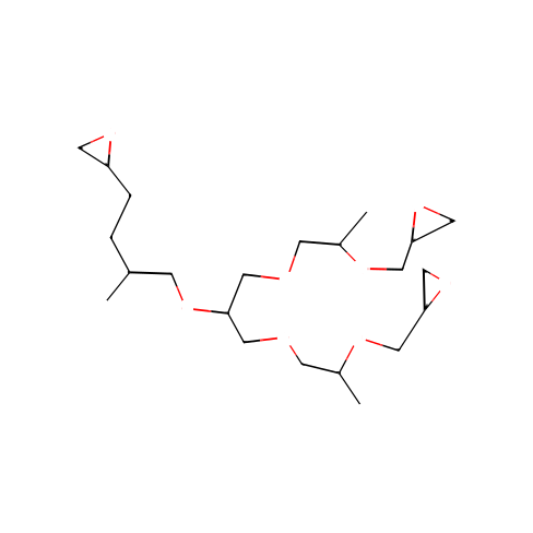 CC(CCC1CO1)COC(COCC(C)OCC1CO1)COCC(C)OCC1CO1